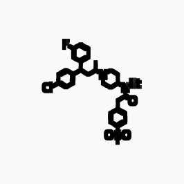 CCN(C(=O)Cc1ccc(S(C)(=O)=O)cc1)C1CCN(C(C)CC(c2ccc(Cl)cc2)c2cccc(F)c2)CC1